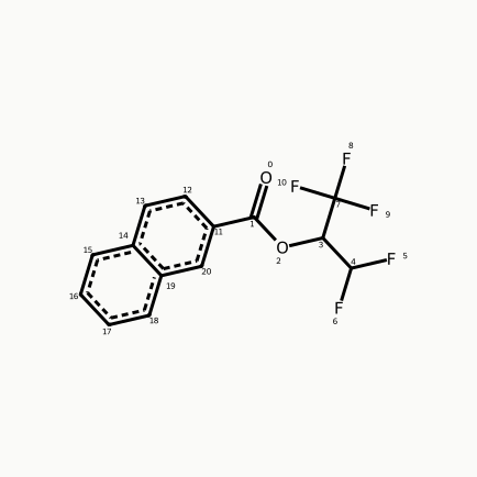 O=C(OC(C(F)F)C(F)(F)F)c1ccc2ccccc2c1